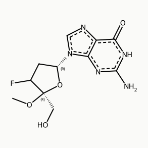 CO[C@]1(CO)O[C@@H](n2cnc3c(=O)[nH]c(N)nc32)CC1F